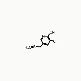 C=BCc1cnc(C#N)c(Cl)c1